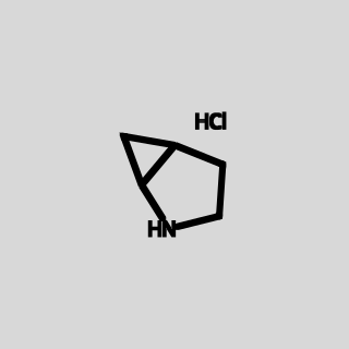 C1CC2CC2N1.Cl